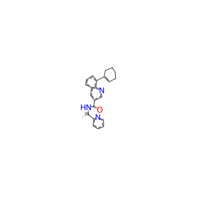 C[C@H](NC(=O)c1cnc2c(C3=CCCCC3)cccc2c1)c1ccccn1